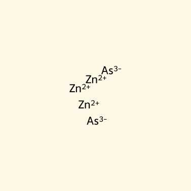 [As-3].[As-3].[Zn+2].[Zn+2].[Zn+2]